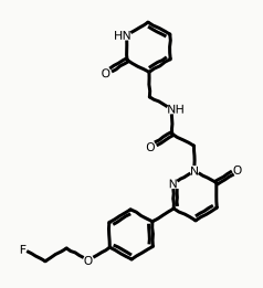 O=C(Cn1nc(-c2ccc(OCCF)cc2)ccc1=O)NCc1ccc[nH]c1=O